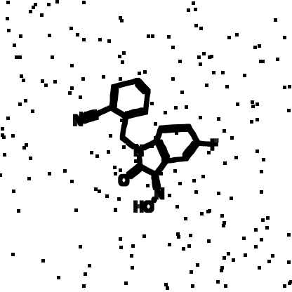 N#Cc1ccccc1CN1C(=O)/C(=N\O)c2cc(F)ccc21